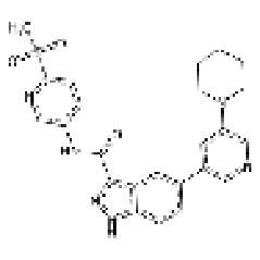 CS(=O)(=O)c1ccc(NC(=O)c2n[nH]c3ccc(-c4cncc(N5CCCCC5)c4)cc23)cn1